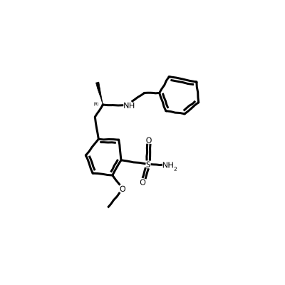 COc1ccc(C[C@@H](C)NCc2ccccc2)cc1S(N)(=O)=O